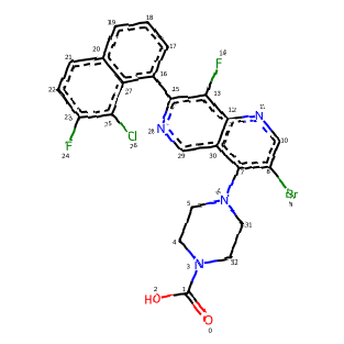 O=C(O)N1CCN(c2c(Br)cnc3c(F)c(-c4cccc5ccc(F)c(Cl)c45)ncc23)CC1